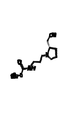 CC(C)(C)OC(=O)NCCCN1CCC[C@H]1CC#N